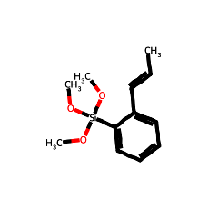 CC=Cc1ccccc1[Si](OC)(OC)OC